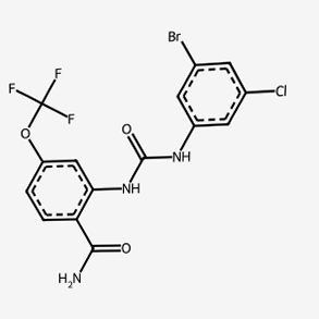 NC(=O)c1ccc(OC(F)(F)F)cc1NC(=O)Nc1cc(Cl)cc(Br)c1